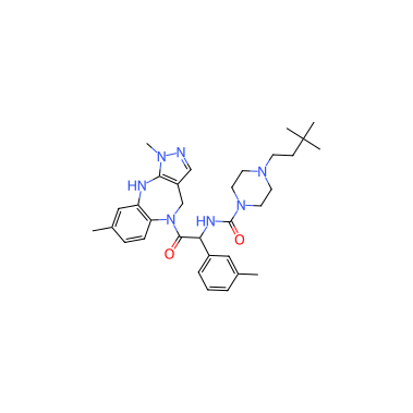 Cc1cccc(C(NC(=O)N2CCN(CCC(C)(C)C)CC2)C(=O)N2Cc3cnn(C)c3Nc3cc(C)ccc32)c1